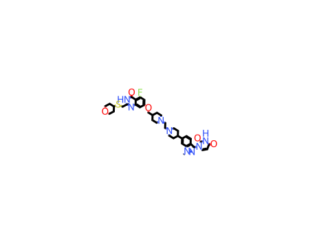 Cn1nc(-n2ccc(=O)[nH]c2=O)c2ccc(C3CCN(CCN4CCC(COc5cc(F)c6c(=O)[nH]c(CSC7CCOCC7)nc6c5)CC4)CC3)cc21